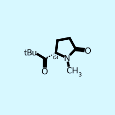 CN1C(=O)CC[C@H]1C(=O)C(C)(C)C